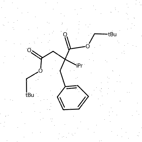 CC(C)C(CC(=O)OCC(C)(C)C)(Cc1ccccc1)C(=O)OCC(C)(C)C